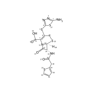 Nc1nnc(SC2=C(C(=O)O)N3C(=O)[C@@H](NC(=O)Cc4cccs4)[C@@H]3SC2)s1